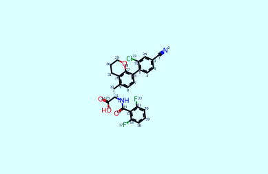 N#Cc1ccc(-c2ccc(C[C@H](NC(=O)c3c(F)cccc3F)C(=O)O)c3c2OCCC3)c(Cl)c1